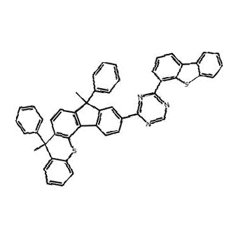 CC1(c2ccccc2)c2ccccc2Sc2c1ccc1c2-c2ccc(-c3ncnc(-c4cccc5c4sc4ccccc45)n3)cc2C1(C)c1ccccc1